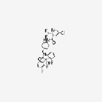 O=C(N[C@H]1CC[C@H](CN2C(=O)C(O)(c3cccc(F)c3F)c3c(F)cccc32)CC1)c1cc(Cl)cnc1C(F)F